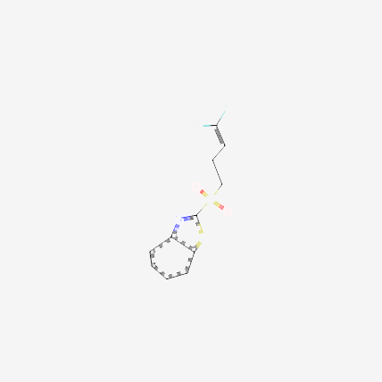 O=S(=O)(CCC=C(F)F)c1nc2ccccc2s1